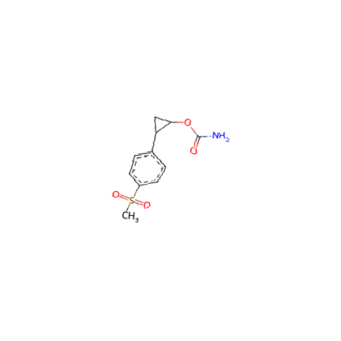 CS(=O)(=O)c1ccc(C2CC2OC(N)=O)cc1